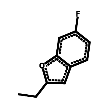 CCc1cc2ccc(F)cc2o1